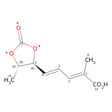 CC(=CC=C[C@@H]1OC(=O)O[C@H]1C)C(=O)O